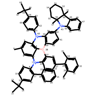 Cc1cc2c3c(c1)N(c1ccc(C(C)(C)C)cc1-c1ccccc1)c1ccc(-c4c(C)cccc4C)cc1B3c1ccc(N3c4ccccc4C4(C)CCCCC34C)cc1N2c1ccc(C(C)(C)C)cc1